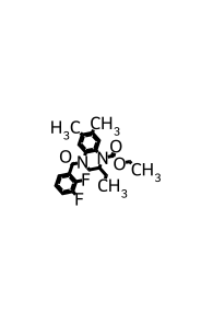 CCOC(=O)N1c2cc(C)c(C)cc2N(C(=O)c2cccc(F)c2F)CC1CC